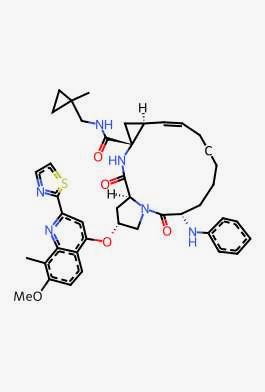 COc1ccc2c(O[C@@H]3C[C@H]4C(=O)N[C@]5(C(=O)NCC6(C)CC6)C[C@H]5/C=C\CCCCC[C@H](Nc5ccccc5)C(=O)N4C3)cc(-c3nccs3)nc2c1C